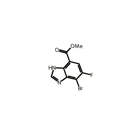 COC(=O)c1cc(F)c(Br)c2nc[nH]c12